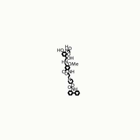 COc1cc(NC(=O)CCN2CCC(OC(=O)Nc3ccccc3-c3ccccc3)CC2)c(Cl)cc1CNC[C@H](O)c1ccc(O)c2c1OCC(=O)N2